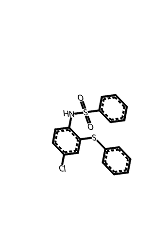 O=S(=O)(Nc1ccc(Cl)cc1Sc1ccccc1)c1ccccc1